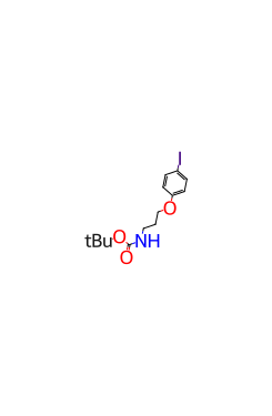 CC(C)(C)OC(=O)NCCCOc1ccc(I)cc1